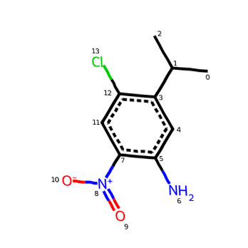 CC(C)c1cc(N)c([N+](=O)[O-])cc1Cl